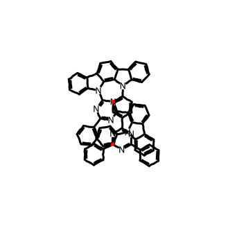 c1ccc(-c2nc(-c3ccccc3)nc(-c3ccc(-n4c5ccccc5c5ccc6c7ccccc7n(-c7nc(-c8ccccc8)nc(-c8cccc9c%10ccccc%10n(-c%10ccccc%10)c89)n7)c6c54)cc3)n2)cc1